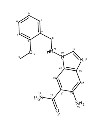 COc1ccccc1CNn1cnc2cc(N)c(C(N)=O)cc21